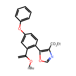 C=C(OCCCC)c1cc(Oc2ccccc2)ccc1-c1ocnc1C(=O)OCC